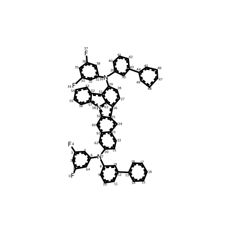 Fc1cc(F)cc(N(c2cccc(-c3ccccc3)c2)c2ccc3cc4c5ccc(N(c6cc(F)cc(F)c6)c6cccc(-c7ccccc7)c6)c6c7ccccc7n(c4cc3c2)c56)c1